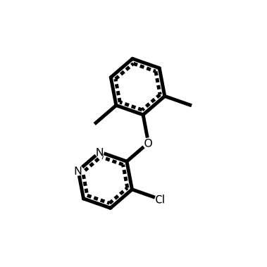 Cc1cccc(C)c1Oc1nnccc1Cl